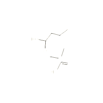 CCCC(O)O.COC.O=CO